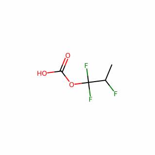 CC(F)C(F)(F)OC(=O)O